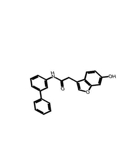 O=C(Cc1coc2cc(O)ccc12)Nc1cccc(-c2ccccc2)c1